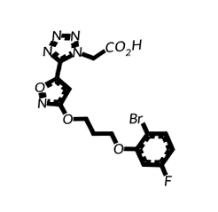 O=C(O)Cn1nnnc1-c1cc(OCCCOc2cc(F)ccc2Br)no1